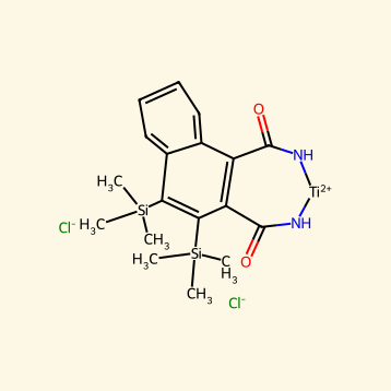 C[Si](C)(C)c1c2c(c3ccccc3c1[Si](C)(C)C)C(=O)[NH][Ti+2][NH]C2=O.[Cl-].[Cl-]